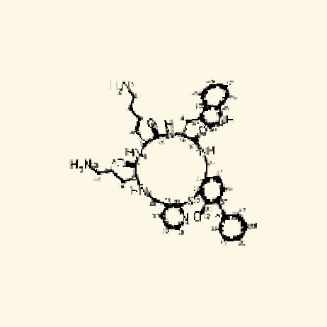 NCCCC[C@@H]1NC(=O)[C@H](CCCN)NCc2cccnc2Sc2c(ccc(-c3ccccc3)c2Cl)CNC(=O)[C@H](Cc2c[nH]c3ccccc23)NC1=O